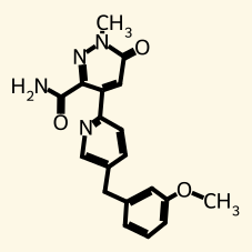 COc1cccc(Cc2ccc(-c3cc(=O)n(C)nc3C(N)=O)nc2)c1